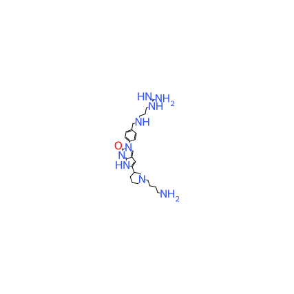 N=C(N)NCCCNCc1ccc(-n2cc3cc(C4CCCN(CCCCN)C4)[nH]c3nc2=O)cc1